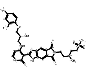 Cc1ccc(OC[C@H](O)CNc2cc[nH]c(=O)c2-c2nc3cc4c(cc3[nH]2)C(=O)N(CCN(C)CCS(C)(=O)=O)C4=O)c(C)c1